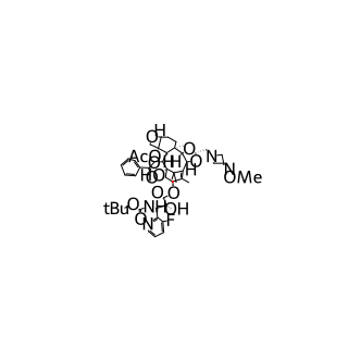 CON=C1CN(C[C@@H]2O[C@@H]3C4=C(C)[C@@H](OC(=O)[C@H](O)[C@@H](NC(=O)OC(C)(C)C)c5ncccc5F)C[C@@](O)([C@@H](OC(=O)c5ccccc5)[C@H]5[C@@](C)(CC[C@H]6OC[C@]65OC(C)=O)[C@@H]3O2)C4(C)C)C1